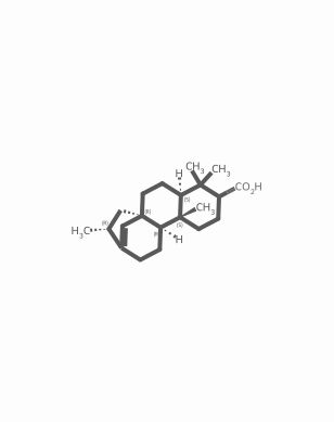 C[C@@H]1C[C@@]23C=C1CC[C@@H]2[C@@]1(C)CCC(C(=O)O)C(C)(C)[C@@H]1CC3